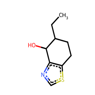 CCC1CCc2scnc2C1O